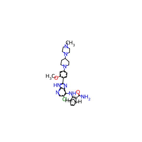 COc1cc(N2CCC(N3CCN(C)CC3)CC2)ccc1-c1nc2c(N[C@H]3[C@@H](C(N)=O)[C@@H]4C=C[C@H]3C4)c(Cl)cnc2[nH]1